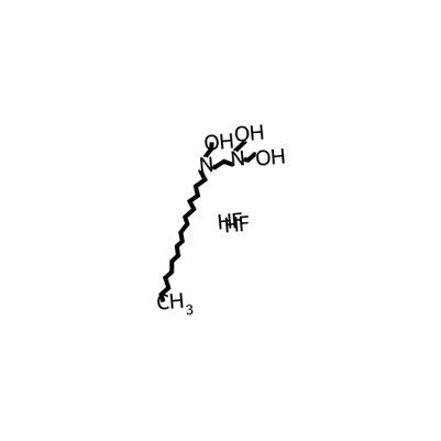 CCCCCCCCCCCCCCCCCCN(CCO)CCCN(CCO)CCO.F.F